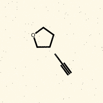 C#CC.C1CCOC1